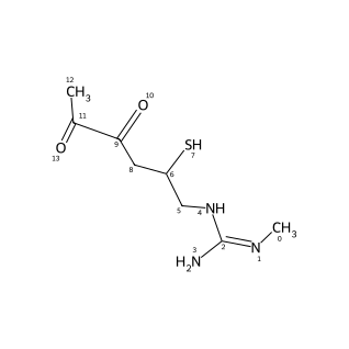 CN=C(N)NCC(S)CC(=O)C(C)=O